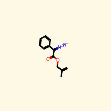 C=C(C)COC(=O)C(=[N+]=[N-])c1ccccc1